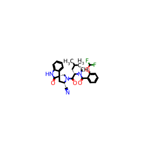 CC(C)C[C@@H](C(=O)N1C[C@]2(C[C@H]1C#N)C(=O)Nc1ccccc12)N(C)C(=O)c1ccccc1OC(F)F